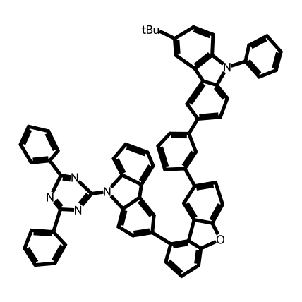 CC(C)(C)c1ccc2c(c1)c1cc(-c3cccc(-c4ccc5oc6cccc(-c7ccc8c(c7)c7ccccc7n8-c7nc(-c8ccccc8)nc(-c8ccccc8)n7)c6c5c4)c3)ccc1n2-c1ccccc1